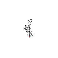 COc1cc(-c2nn(C3Cc4ccccc4C3)c3ncnc(N)c23)ccc1C(F)(F)F